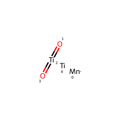 [Mn].[O]=[Ti]=[O].[Ti]